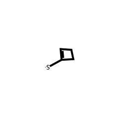 [S]C1=CCC1